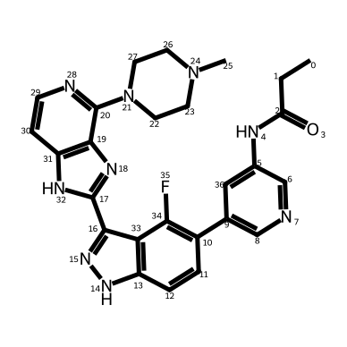 CCC(=O)Nc1cncc(-c2ccc3[nH]nc(-c4nc5c(N6CCN(C)CC6)nccc5[nH]4)c3c2F)c1